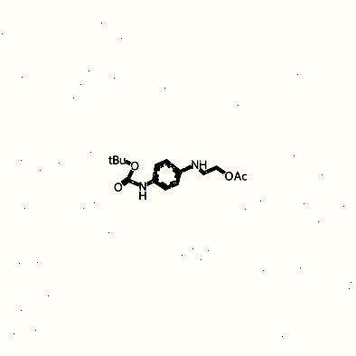 CC(=O)OCCNc1ccc(NC(=O)OC(C)(C)C)cc1